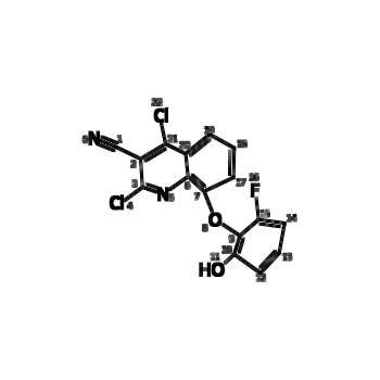 N#Cc1c(Cl)nc2c(Oc3c(O)cccc3F)cccc2c1Cl